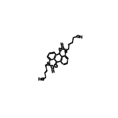 O=C1c2cccc(N(O)CCCCO)c2C(=O)c2cccc(N(O)CCCCO)c21